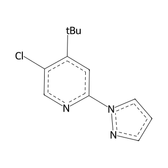 CC(C)(C)c1cc(-n2cccn2)ncc1Cl